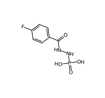 O=C(NNP(=O)(O)O)c1ccc(F)cc1